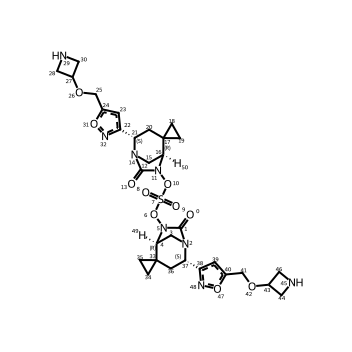 O=C1N2C[C@H](N1OS(=O)(=O)ON1C(=O)N3C[C@H]1C1(CC1)C[C@H]3c1cc(COC3CNC3)on1)C1(CC1)C[C@H]2c1cc(COC2CNC2)on1